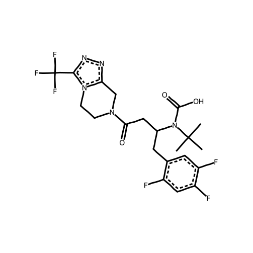 CC(C)(C)N(C(=O)O)C(CC(=O)N1CCn2c(nnc2C(F)(F)F)C1)Cc1cc(F)c(F)cc1F